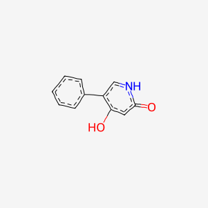 O=c1cc(O)c(-c2ccccc2)c[nH]1